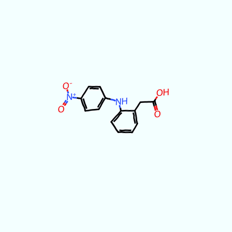 O=C(O)Cc1ccccc1Nc1ccc([N+](=O)[O-])cc1